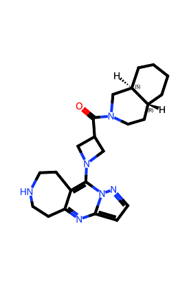 O=C(C1CN(c2c3c(nc4ccnn24)CCNCC3)C1)N1CC[C@H]2CCCC[C@@H]2C1